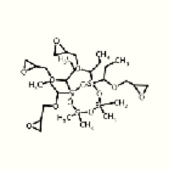 CCC(OCC1CO1)[Si]1(C(CC)OCC2CO2)O[Si](C)(C)O[Si](C)(C)O[Si](C(CC)OCC2CO2)(C(CC)OCC2CO2)O1